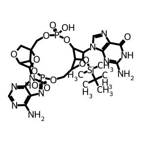 CC(C)(C)[Si](C)(C)OC1C2COP(=O)(O)OC3C4OCC3(COP(=O)(O)OC1C(n1cnc3c(=O)[nH]c(N)nc31)O2)OC4n1cnc2c(N)ncnc21